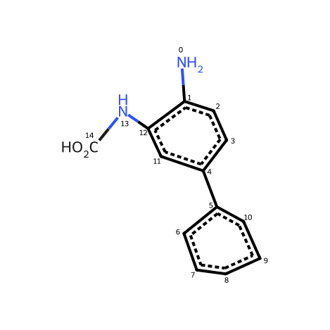 Nc1ccc(-c2ccccc2)cc1NC(=O)O